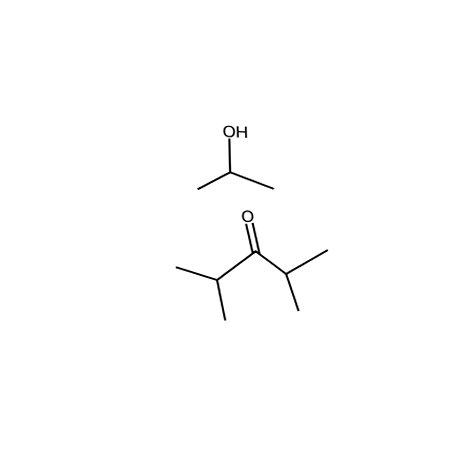 CC(C)C(=O)C(C)C.CC(C)O